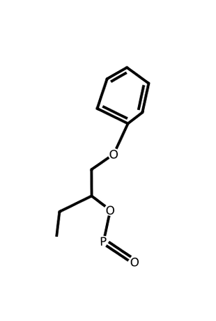 CCC(COc1ccccc1)OP=O